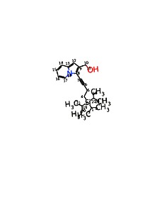 CC(C)[Si](CCC#Cc1c(CO)cc2ccccn12)(C(C)C)C(C)C